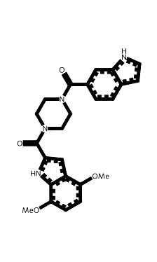 COc1ccc(OC)c2[nH]c(C(=O)N3CCN(C(=O)c4ccc5cc[nH]c5c4)CC3)cc12